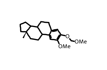 COCOc1cc2c(cc1OC)C1CC[C@]3(C)CCCC3C1CC2